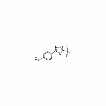 O=Cc1ccc(-c2noc(C(F)(F)Cl)n2)cc1